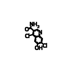 NC(=O)c1cnc2cc(Cl)c(O)cc2c1Cl